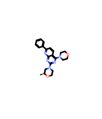 C[C@H]1CN(c2nc(N3CCOCC3)c3ccc(-c4ccccc4)nc3n2)CCO1